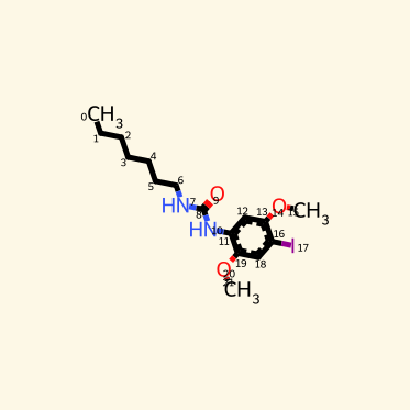 CCCCCCCNC(=O)Nc1cc(OC)c(I)cc1OC